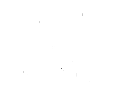 Cc1ccc(OCc2ccc(C(=O)N3CCCCC3)cc2C)c(-c2csc(N3CC4CCC(C4)C3)n2)c1